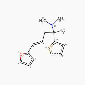 CCC(CC=Cc1ccco1)(c1cccs1)N(C)C